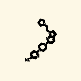 N#Cc1ccc(N2CCN(c3ccc4ccn(CCN5CCCC5)c4n3)CC2)nc1